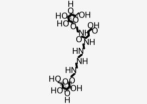 O=C(O)CCC(NCCNCCNCCNCCO[C@H]1O[C@H](CO)[C@@H](O)[C@H](O)[C@@H]1O)C(=O)NCCO[C@H]1O[C@H](CO)[C@@H](O)[C@H](O)[C@@H]1O